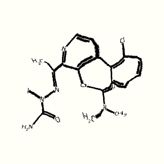 CC(=NN(I)C(N)=O)c1nccc(-c2c(Cl)cccc2Cl)c1OC(=O)N(C)C